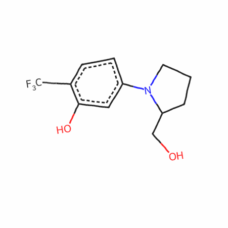 OCC1CCCN1c1ccc(C(F)(F)F)c(O)c1